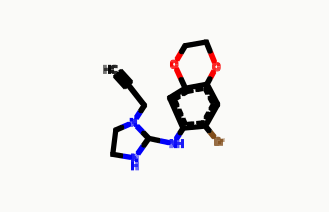 C#CCN1CCNC1Nc1cc2c(cc1Br)OCCO2